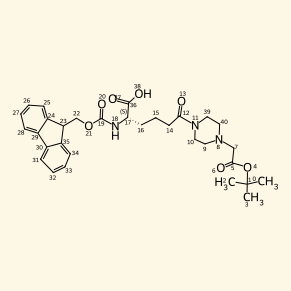 CC(C)(C)OC(=O)CN1CCN(C(=O)CCC[C@H](NC(=O)OCC2c3ccccc3-c3ccccc32)C(=O)O)CC1